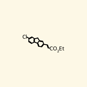 CCOC(=O)C=Cc1ccc2c(c1)Cc1cc(Cl)ccc1-2